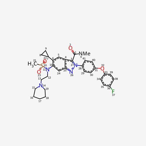 CNC(=O)c1c2cc(C3CC3)c(N(CCN3CCCCC3)S(C)(=O)=O)cc2nn1-c1ccc(Oc2ccc(F)cc2)cc1